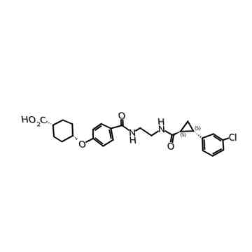 O=C(NCCNC(=O)[C@H]1C[C@@H]1c1cccc(Cl)c1)c1ccc(O[C@H]2CC[C@@H](C(=O)O)CC2)cc1